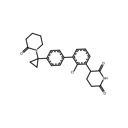 O=C1CCC(c2cccc(-c3ccc(C4(N5CCCCC5=O)CC4)cc3)c2Cl)C(=O)N1